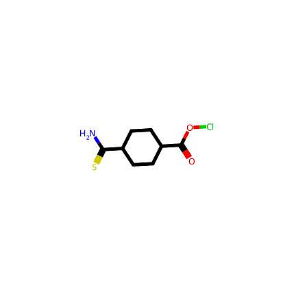 NC(=S)C1CCC(C(=O)OCl)CC1